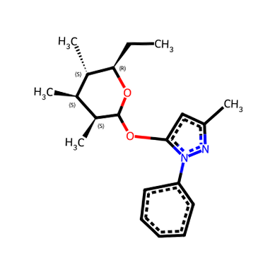 CC[C@H]1OC(Oc2cc(C)nn2-c2ccccc2)[C@@H](C)[C@@H](C)[C@@H]1C